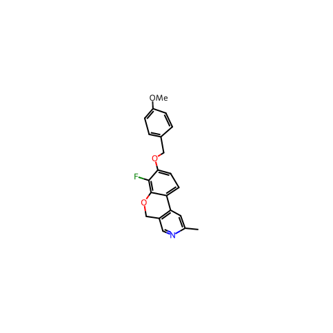 COc1ccc(COc2ccc3c(c2F)OCc2cnc(C)cc2-3)cc1